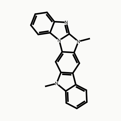 Cn1c2ccccc2c2cc3c(cc21)n1c2ccccc2nc1n3C